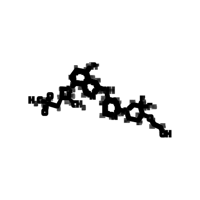 CC(C)c1ccc(N2C[C@H](CS(C)(=O)=O)[C@H]2C)c2cnc(Nc3ccnc(N4CC[C@H](OCCO)C(F)(F)C4)n3)cc12